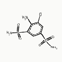 Nc1c(Cl)cc(S(N)(=O)=O)cc1S(N)(=O)=O